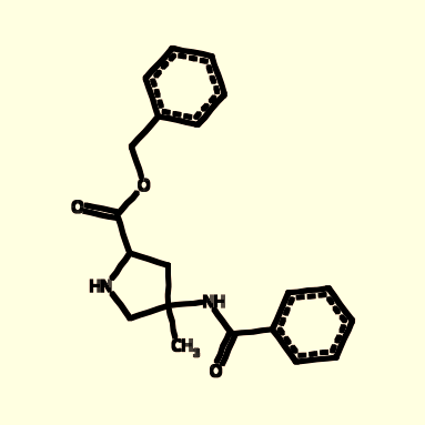 CC1(NC(=O)c2ccccc2)CNC(C(=O)OCc2ccccc2)C1